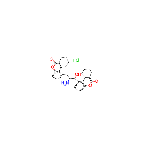 Cl.NC(Cc1cccc2oc(=O)c3c(c12)CCCC3)C(O)c1cccc2oc(=O)c3c(c12)CCCC3